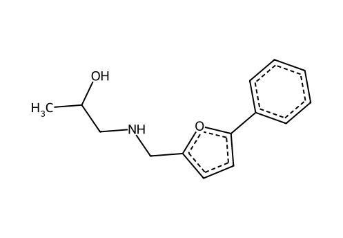 CC(O)CNCc1ccc(-c2ccccc2)o1